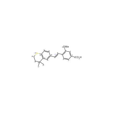 COc1cc(C(=O)O)ccc1/C=C/c1ccc2c(c1)C(C)(C)CCS2